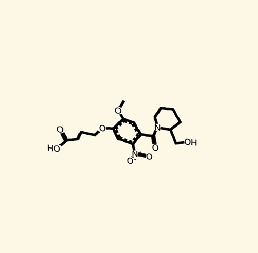 COc1cc(C(=O)N2CCCCC2CO)c([N+](=O)[O-])cc1OCCCC(=O)O